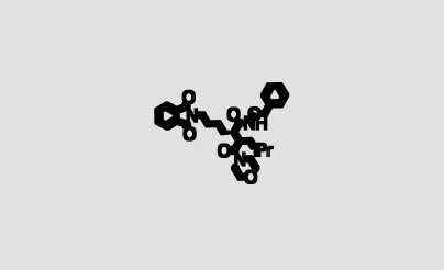 CC(C)CC(C(=O)N1CCOCC1)[C@@H](CCCCN1C(=O)c2ccccc2C1=O)C(=O)NOCc1ccccc1